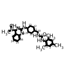 Cc1cc(C)c(NC(=O)NCC2CCC(Nc3nc(N(C)C)c4ccccc4n3)CC2)c(C)c1